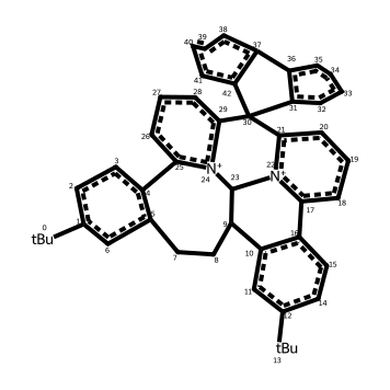 CC(C)(C)c1ccc2c(c1)CCC1c3cc(C(C)(C)C)ccc3-c3cccc4[n+]3C1[n+]1c-2cccc1C41c2ccccc2-c2ccccc21